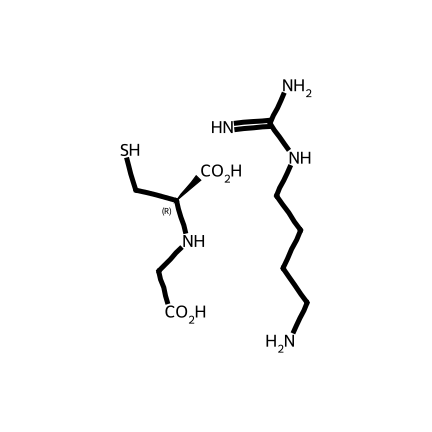 N=C(N)NCCCCN.O=C(O)CN[C@@H](CS)C(=O)O